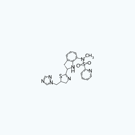 CN(c1cccc2c1NC(C1=NCC(Cn3cncn3)S1)C2)S(=O)(=O)c1ccccn1